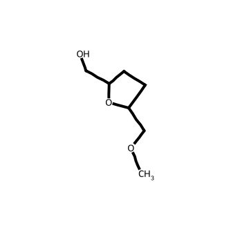 COCC1CCC(CO)O1